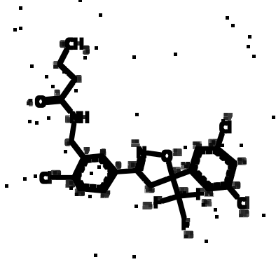 CCCC(=O)NCc1cc(C2=NOC(c3cc(Cl)cc(Cl)c3)(C(F)(F)F)C2)ccc1Cl